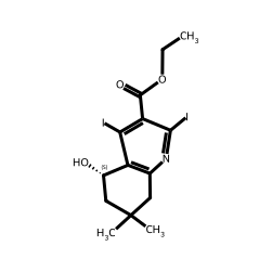 CCOC(=O)c1c(I)nc2c(c1I)[C@@H](O)CC(C)(C)C2